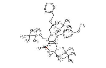 COc1ccc(COC[C@H](C)[C@H]2OC2(C)[C@@H](O[Si](C)(C)C(C)(C)C)[C@@H](CO[Si](C)(C)C(C)(C)C)[C@H](O)[C@H](CO[Si](C)(C)C(C)(C)C)[C@@H](O)CC(=O)OCc2ccccc2)cc1